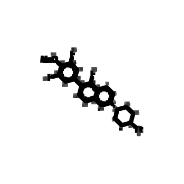 CC[C@H]1CC[C@H](c2ccc3c(F)c(-c4cc(F)c(OC)c(F)c4)ccc3c2)CC1